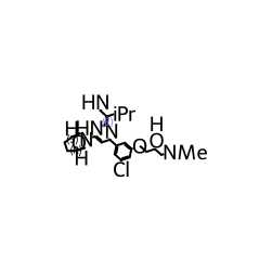 CNCC(O)COc1cc(Cl)cc(C2=N/C(=C(/C=N)C(C)C)NC(N3C[C@H]4CC[C@@H](C3)O4)=C2)c1